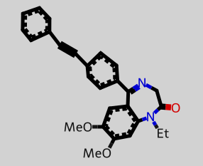 CCN1C(=O)CN=C(c2ccc(C#Cc3ccccc3)cc2)c2cc(OC)c(OC)cc21